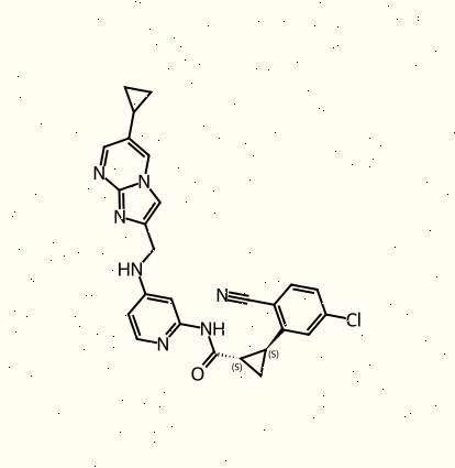 N#Cc1ccc(Cl)cc1[C@H]1C[C@@H]1C(=O)Nc1cc(NCc2cn3cc(C4CC4)cnc3n2)ccn1